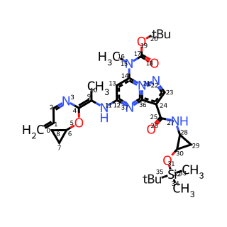 C=C/C=N\C(OC1CC1)=C(/C)Nc1cc(N(C)C(=O)OC(C)(C)C)n2ncc(C(=O)NC3CC3O[Si](C)(C)C(C)(C)C)c2n1